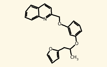 CC(Cc1ccco1)Oc1cccc(OCc2ccc3ccccc3n2)c1